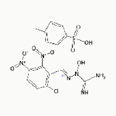 Cc1ccc(S(=O)(=O)O)cc1.N=C(N)N(O)/N=C/c1c(Cl)ccc([N+](=O)[O-])c1[N+](=O)[O-]